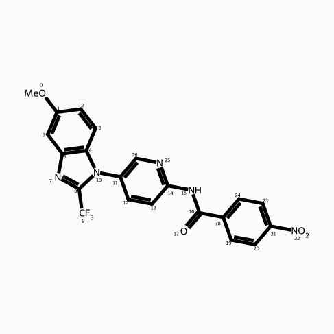 COc1ccc2c(c1)nc(C(F)(F)F)n2-c1ccc(NC(=O)c2ccc([N+](=O)[O-])cc2)nc1